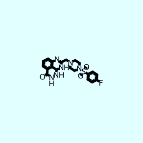 O=C1NNC2NC(CN3CCN(S(=O)(=O)c4ccc(F)cc4)CC3)=Nc3cccc1c32